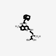 Cc1ccc2nc(NCCN(CC(O)C(C)(C)C)C(=O)O)ccc2c1NC(=O)CC12CC3CC(CC(C3)C1)C2